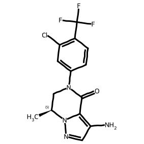 C[C@H]1CN(c2ccc(C(F)(F)F)c(Cl)c2)C(=O)c2c(N)cnn21